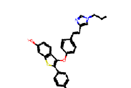 CCCn1cnc(C=Cc2ccc(Oc3c(-c4ccc(O)cc4)sc4cc(O)ccc34)cc2)c1